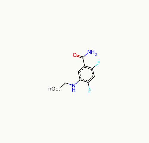 CCCCCCCCCNc1cc(C(N)=O)c(F)cc1F